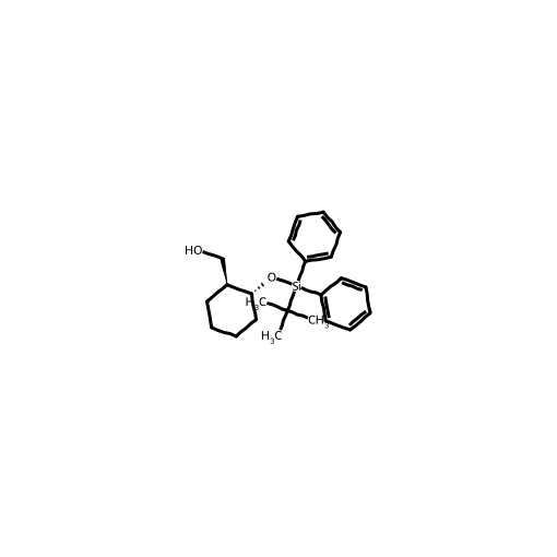 CC(C)(C)[Si](O[C@@H]1CCCC[C@H]1CO)(c1ccccc1)c1ccccc1